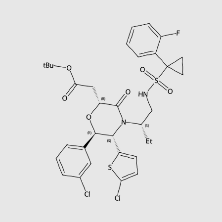 CC[C@@H](CNS(=O)(=O)C1(c2ccccc2F)CC1)N1C(=O)[C@@H](CC(=O)OC(C)(C)C)O[C@H](c2cccc(Cl)c2)[C@H]1c1ccc(Cl)s1